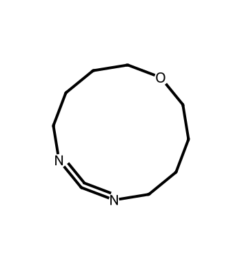 C1=NCCCCOCCCCN=1